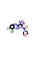 N=C(Nc1ccc(F)c(Br)c1)c1nonc1NC(=O)N1CCOCC1